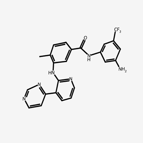 Cc1ccc(C(=O)Nc2cc(N)cc(C(F)(F)F)c2)cc1Nc1ncccc1-c1ccncn1